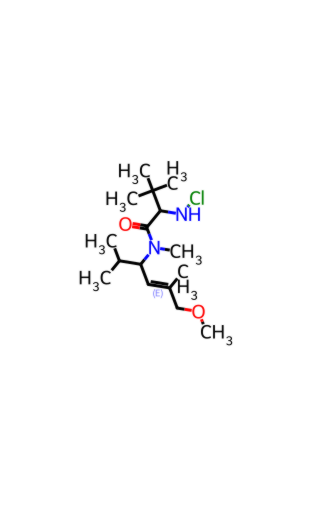 COC/C(C)=C/C(C(C)C)N(C)C(=O)C(NCl)C(C)(C)C